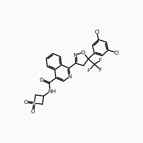 O=C(NC1CS(=O)(=O)C1)c1cnc(C2=NOC(c3cc(Cl)cc(Cl)c3)(C(F)(F)F)C2)c2ccccc12